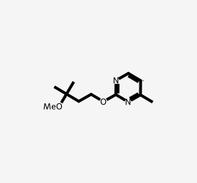 COC(C)(C)CCOc1nc[c]c(C)n1